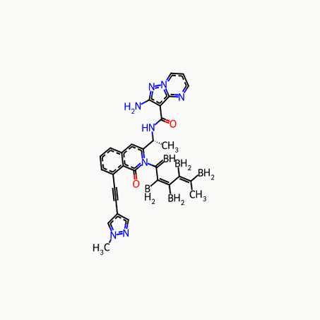 B=C(/C(B)=C(B)\C(B)=C(\B)C)n1c([C@@H](C)NC(=O)c2c(N)nn3cccnc23)cc2cccc(C#Cc3cnn(C)c3)c2c1=O